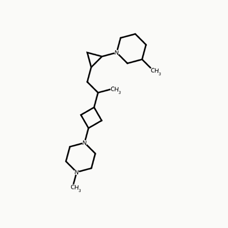 CC1CCCN(C2CC2CC(C)C2CC(N3CCN(C)CC3)C2)C1